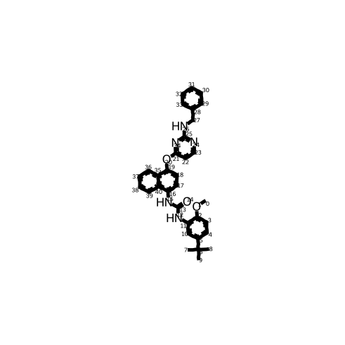 COc1ccc(C(C)(C)C)cc1NC(=O)Nc1ccc(Oc2ccnc(NCc3ccccc3)n2)c2ccccc12